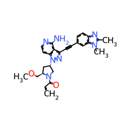 C=CC(=O)N1C[C@@H](n2nc(C#Cc3ccc4nc(C)n(C)c4c3)c3c(N)nccc32)C[C@@H]1COC